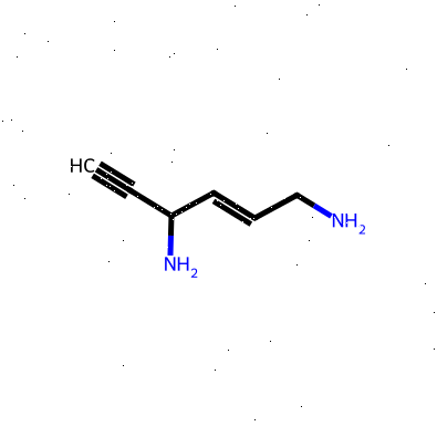 C#CC(N)C=CCN